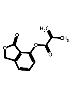 C=C(C)C(=O)Oc1cccc2c1C(=O)OC2